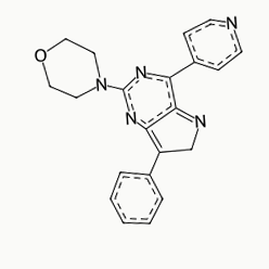 c1ccc(C2=c3nc(N4CCOCC4)nc(-c4ccncc4)c3=NC2)cc1